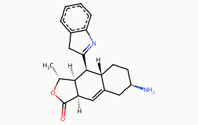 C[C@H]1OC(=O)[C@@H]2C=C3C[C@H](N)CC[C@H]3[C@H](C3=Nc4ccccc4C3)[C@H]12